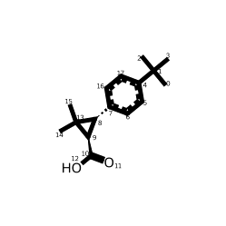 CC(C)(C)c1ccc([C@@H]2[C@@H](C(=O)O)C2(C)C)cc1